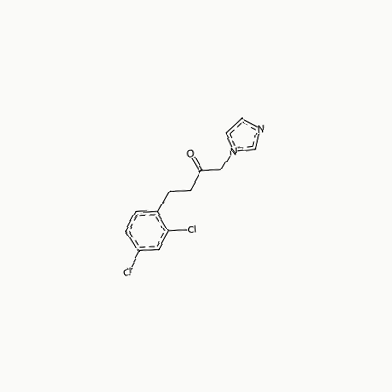 O=C(CCc1ccc(Cl)cc1Cl)Cn1ccnc1